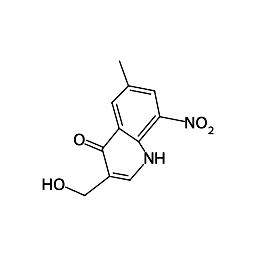 Cc1cc([N+](=O)[O-])c2[nH]cc(CO)c(=O)c2c1